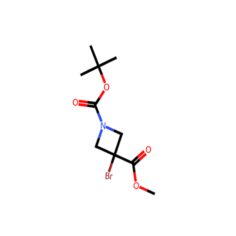 COC(=O)C1(Br)CN(C(=O)OC(C)(C)C)C1